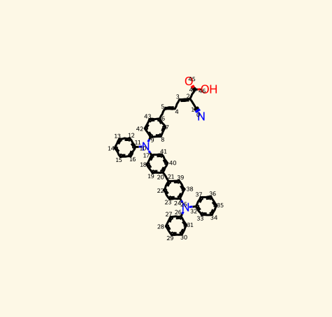 N#C/C(=C\C=C\c1ccc(N(c2ccccc2)c2ccc(-c3ccc(N(c4ccccc4)c4ccccc4)cc3)cc2)cc1)C(=O)O